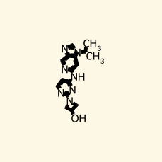 CC(C)n1cnc2cnc(Nc3ccnc(N4CC(O)C4)n3)cc21